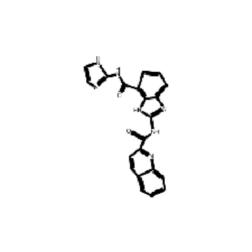 O=C(Nc1nc2cccc(C(=O)Nc3ncc[nH]3)c2[nH]1)c1ccc2ccccc2n1